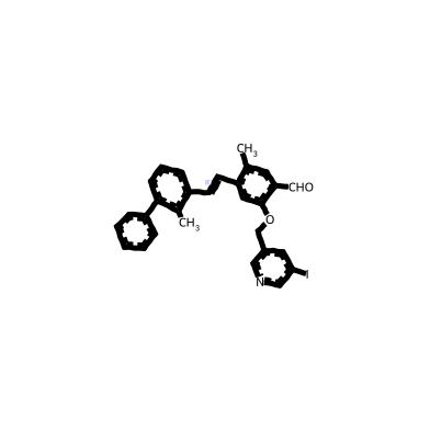 Cc1cc(C=O)c(OCc2cncc(I)c2)cc1/C=C/c1cccc(-c2ccccc2)c1C